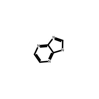 C1=Nc2nccnc2[N]1